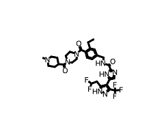 CCc1cc(CNC(=O)c2ncc(-c3c(C(F)(F)F)n[nH]c3CC(F)F)[nH]2)ccc1C(=O)N1CCN(C(=O)C2CCN(C)CC2)CC1